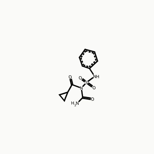 NC(=O)N(C(=O)C1CC1)S(=O)(=O)Nc1ccccc1